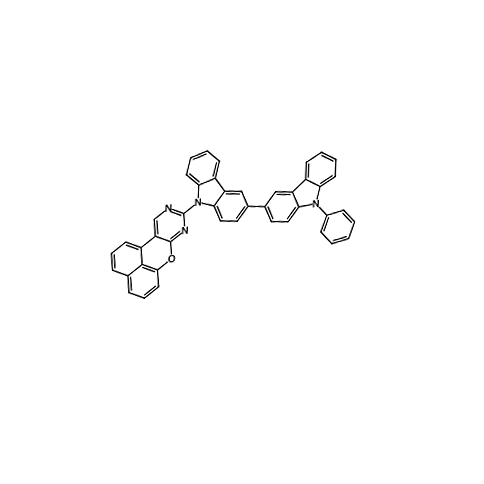 c1ccc(-n2c3ccccc3c3cc(-c4ccc5c(c4)c4ccccc4n5-c4ncc5c(n4)Oc4cccc6cccc-5c46)ccc32)cc1